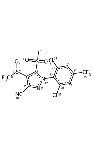 CS(=O)(=O)c1c([S+]([O-])C(F)(F)F)c(C#N)nn1-c1c(Cl)cc(C(F)(F)F)cc1Cl